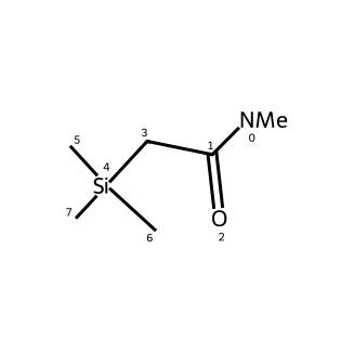 CNC(=O)C[Si](C)(C)C